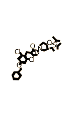 CC(C)[Si](OC1CCN(N2CCC(Cc3c(Cl)cc(OCc4ccccc4)cc3Cl)C2=O)CC1)(C(C)C)C(C)C